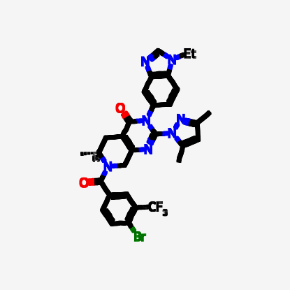 CCn1cnc2cc(-n3c(-n4nc(C)cc4C)nc4c(c3=O)C[C@@H](C)N(C(=O)c3ccc(Br)c(C(F)(F)F)c3)C4)ccc21